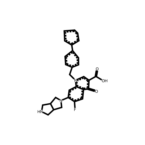 O=C(O)c1cn(Cc2ccc(-c3ccccc3)cc2)c2cc(N3CC4CNCC4C3)c(F)cc2c1=O